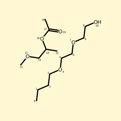 CCCCOCCOCCO.COCC(C)OC(C)=O